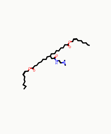 CCCCCC/C=C\COC(=O)CCCCCCCC(CCCCCCCC(=O)OC/C=C\CCCCCC)CC(=O)NCCN(C)C